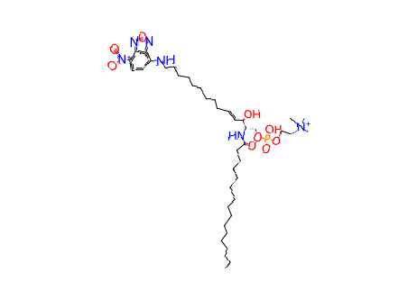 CCCCCCCCCCCCCCCC(=O)N[C@@H](COP(=O)(O)OCC[N+](C)(C)C)[C@H](O)/C=C/CCCCCCCCCNc1ccc([N+](=O)[O-])c2nonc12